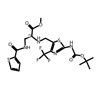 COC(=O)[C@H](CNC(=O)c1cccs1)NCc1sc(NC(=O)OC(C)(C)C)nc1C(F)(F)F